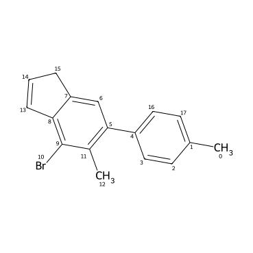 Cc1ccc(-c2cc3c(c(Br)c2C)C=CC3)cc1